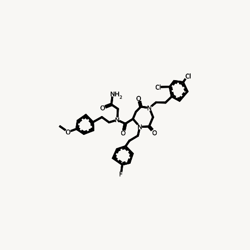 COc1ccc(CCN(CC(N)=O)C(=O)C2CC(=O)N(CCc3ccc(Cl)cc3Cl)CC(=O)N2CCc2ccc(F)cc2)cc1